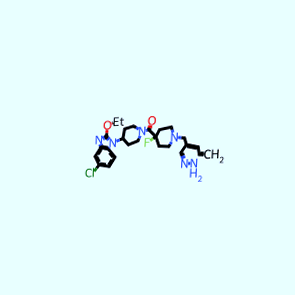 C=C/C=C(\C=N/N)CN1CCC(F)(C(=O)N2CCC(n3c(OCC)nc4cc(Cl)ccc43)CC2)CC1